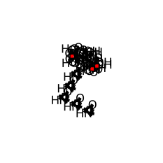 CC1(C)CC(=O)CC(C)(C)N1.CC1(C)CC(=O)CC(C)(C)N1.CC1(C)CC(=O)CC(C)(C)N1.CC1(C)CC(=O)CC(C)(C)N1.CC1(C)CC(=O)CC(C)(C)N1.O=P(O)(O)C(N(CCN(C(P(=O)(O)O)P(=O)(O)O)C(P(=O)(O)O)P(=O)(O)O)CCN(C(P(=O)(O)O)P(=O)(O)O)C(P(=O)(O)O)P(=O)(O)O)P(=O)(O)O